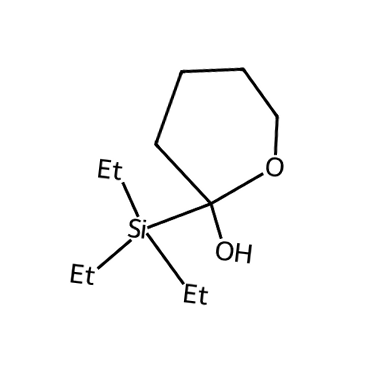 CC[Si](CC)(CC)C1(O)CCCCO1